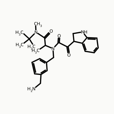 CC(C(=O)N(C)C(C)(C)C)N(Cc1cccc(CN)c1)C(=O)C(=O)C1CNc2ccccc21